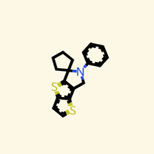 c1ccc(N2Cc3c(sc4ccsc34)C23CCCC3)cc1